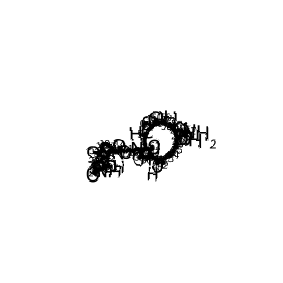 COC1C[C@H](C)CC2=C(NCCOC(=O)Nc3cccc4c3CN(C3CCC(=O)NC3=O)C4=O)C(=O)C=C(NC(=O)C(C)C#C/C=C\C(O)C(OC(N)=O)/C(C)=C/[C@H](C)C1O)C2=O